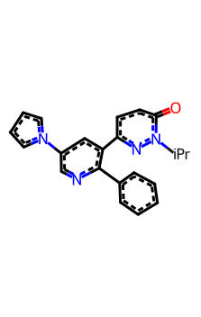 CC(C)n1nc(-c2cc(-n3cccc3)cnc2-c2ccccc2)ccc1=O